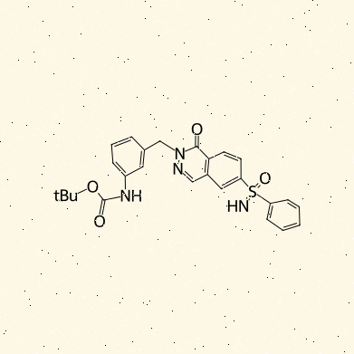 CC(C)(C)OC(=O)Nc1cccc(Cn2ncc3cc(S(=N)(=O)c4ccccc4)ccc3c2=O)c1